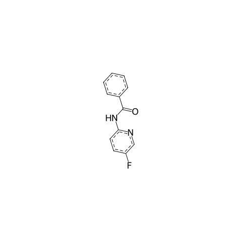 O=C(Nc1ccc(F)cn1)c1ccccc1